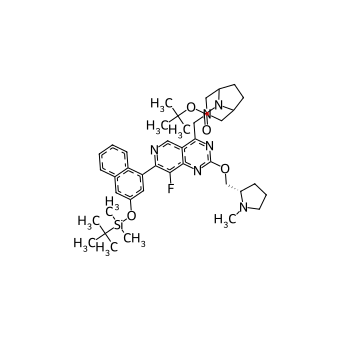 CN1CCC[C@H]1COc1nc(CN2CC3CCC(C2)N3C(=O)OC(C)(C)C)c2cnc(-c3cc(O[Si](C)(C)C(C)(C)C)cc4ccccc34)c(F)c2n1